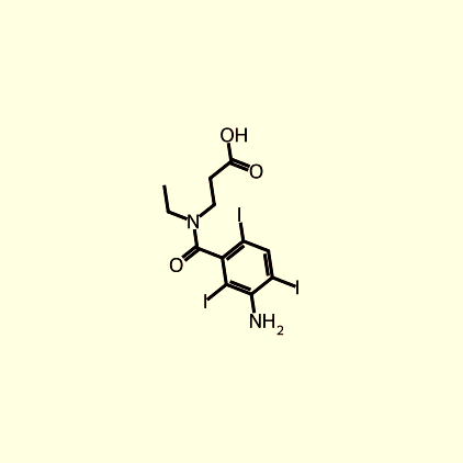 CCN(CCC(=O)O)C(=O)c1c(I)cc(I)c(N)c1I